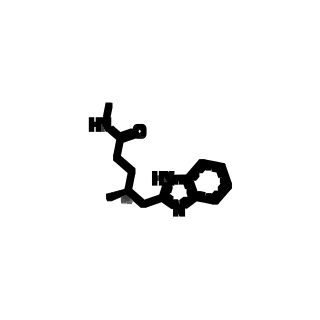 CNC(=O)CC[C@H](C)Cc1nc2ccccc2[nH]1